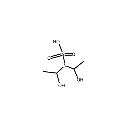 CC(O)N(C(C)O)S(=O)(=O)O